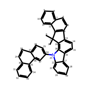 CC1(C)c2c(ccc3ccccc23)-c2ccc3c4ccccc4n(-c4ccc5ccc6ccccc6c5c4)c3c21